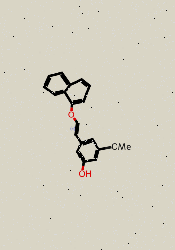 COc1cc(O)cc(/C=C/Oc2cccc3ccccc23)c1